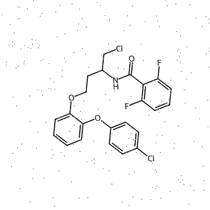 O=C(NC(CCl)CCOc1ccccc1Oc1ccc(Cl)cc1)c1c(F)cccc1F